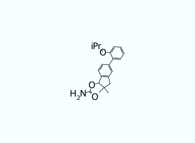 CC(C)Oc1ccccc1-c1ccc2c(c1)CC(C)(C)C2OC(N)=O